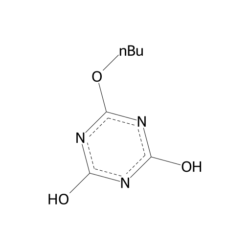 CCCCOc1nc(O)nc(O)n1